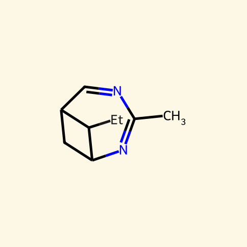 CCC1C2C=NC(C)=NC1C2